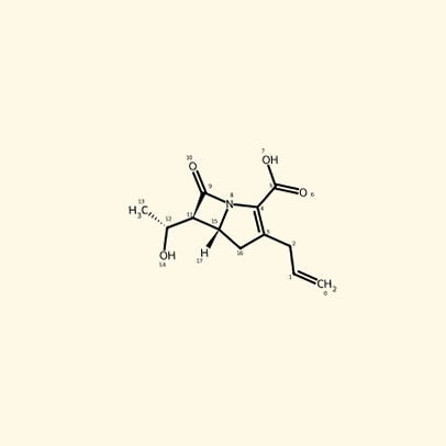 C=CCC1=C(C(=O)O)N2C(=O)[C@H]([C@@H](C)O)[C@H]2C1